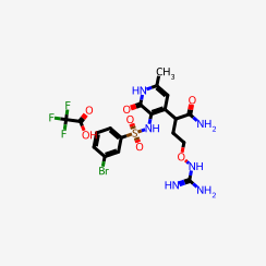 Cc1cc(C(CCONC(=N)N)C(N)=O)c(NS(=O)(=O)c2cccc(Br)c2)c(=O)[nH]1.O=C(O)C(F)(F)F